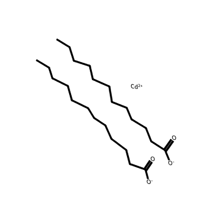 CCCCCCCCCCCC(=O)[O-].CCCCCCCCCCCC(=O)[O-].[Cd+2]